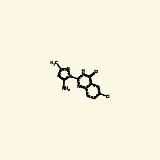 Cc1cc(N)n(-c2nc3ccc(Cl)cc3c(=O)[nH]2)n1